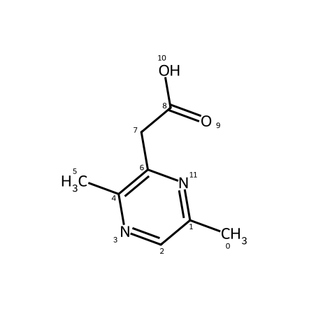 Cc1cnc(C)c(CC(=O)O)n1